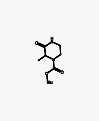 CC1C(=O)NCCN1C(=O)OC(C)(C)C